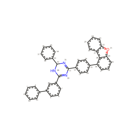 c1ccc(-c2cccc(C3=NC(c4ccc(-c5cccc6oc7ccccc7c56)cc4)=NC(c4ccccc4)N3)c2)cc1